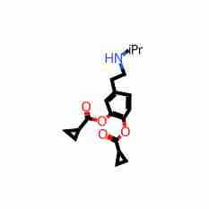 CC(C)NCCc1ccc(OC(=O)C2CC2)c(OC(=O)C2CC2)c1